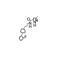 Cc1cc(C(=O)NCCCc2ccc(-c3ccccc3F)cc2)[nH]n1